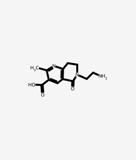 Cc1nc2c(cc1C(=O)O)C(=O)N(CCN)CC2